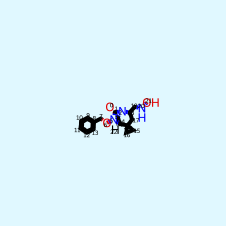 O=C1N2C[C@@H](N1OCc1ccccc1)C1(CC1)CC2CNO